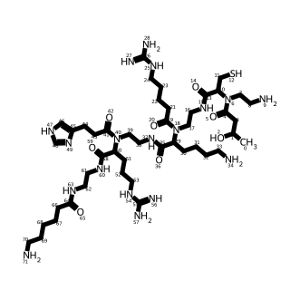 CC(O)CC(=O)N(CCN)C(CS)C(=O)NCCN(C(=O)CCCCNC(=N)N)C(CCCCN)C(=O)NCCN(C(=O)CCc1c[nH]cn1)C(CCCNC(=N)N)C(=O)NCCNC(=O)CCCCCN